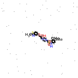 COc1ccc(NS(=O)(=O)CCN2CCN(C[C@@H](O)COc3ccc4sc(C)nc4c3)CC2)cc1OC